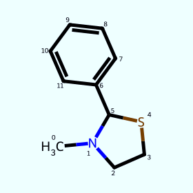 CN1CCSC1c1ccccc1